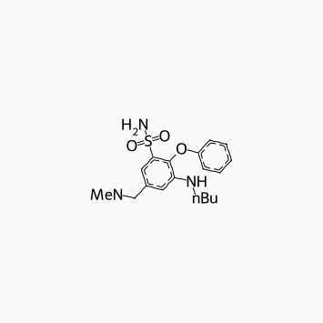 CCCCNc1cc(CNC)cc(S(N)(=O)=O)c1Oc1ccccc1